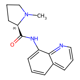 CN1CCC[C@@H]1C(=O)Nc1cccc2cccnc12